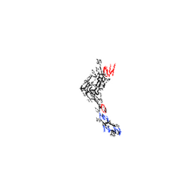 CC12CC[C@@H]3[C@H](CC[C@]4(C)[C@@H](C(=O)Cn5cc6ncncc6n5)CC[C@@H]34)[C@H]1CC[C@@](C)(O)C2